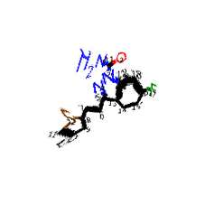 NC(=O)n1nc(/C=C/c2cccs2)c2c[c]c(F)cc21